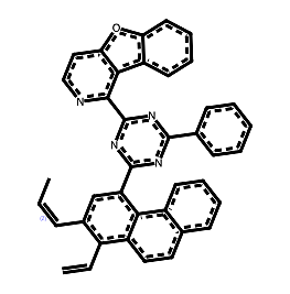 C=Cc1c(/C=C\C)cc(-c2nc(-c3ccccc3)nc(-c3nccc4oc5ccccc5c34)n2)c2c1ccc1ccccc12